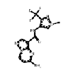 Cn1cc(NC(=O)c2cnn3ccc(N)nc23)c(C(F)(F)F)n1